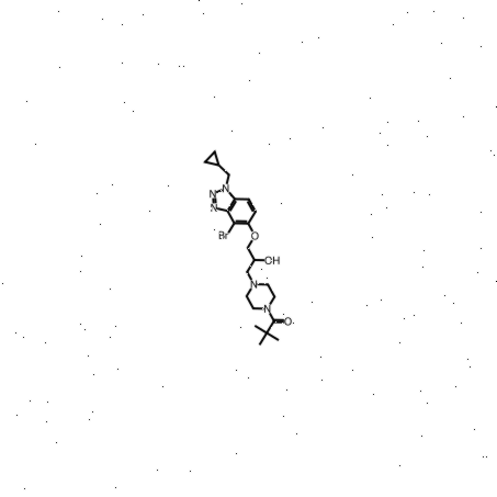 CC(C)(C)C(=O)N1CCN(CC(O)COc2ccc3c(nnn3CC3CC3)c2Br)CC1